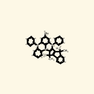 CC1(C)C2=C(C3=C1c1ccccc1C3(C)C)N(c1ccccc1)c1cc(C(C)(C)C)cc3c1B2c1ccccc1N3c1ccccc1